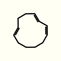 C1=C\CCCC/C=C/CC/C=C/1